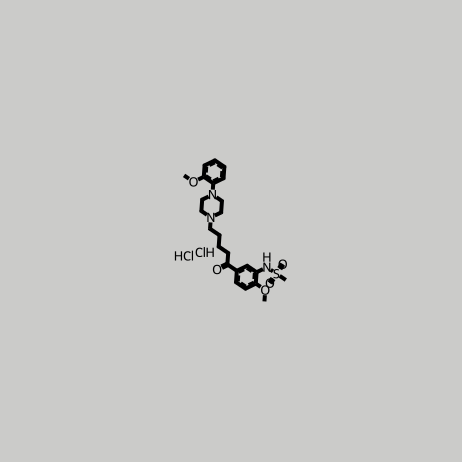 COc1ccc(C(=O)CCCCN2CCN(c3ccccc3OC)CC2)cc1NS(C)(=O)=O.Cl.Cl